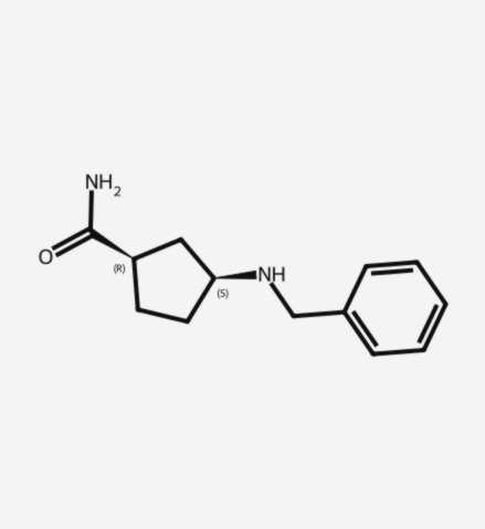 NC(=O)[C@@H]1CC[C@H](NCc2ccccc2)C1